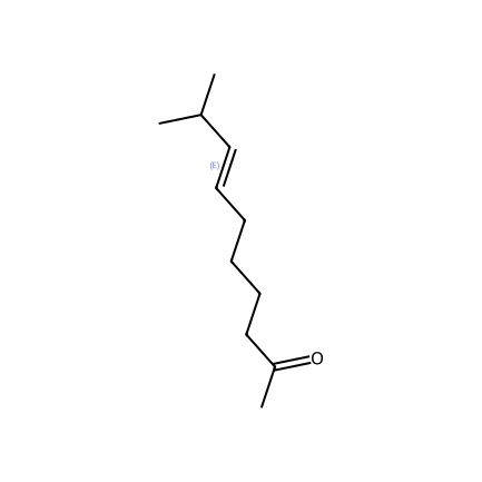 CC(=O)CCCC/C=C/C(C)C